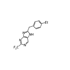 CCc1ccc(Cc2nc3nc(C(F)(F)F)ncc3[nH]2)cc1